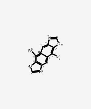 Brc1c2cc3ncoc3c(Br)c2cc2ncoc12